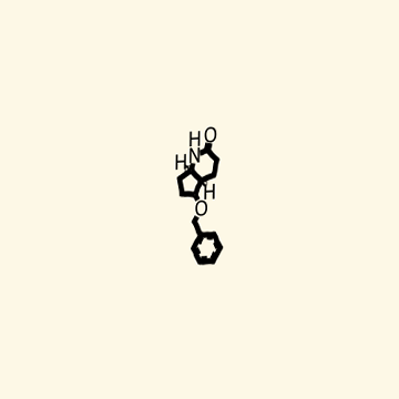 O=C1CC[C@H]2C(OCc3ccccc3)CC[C@H]2N1